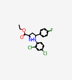 CCOC(=O)C1=NN(c2ccc(Cl)cc2Cl)C(c2ccc(F)cc2)C1